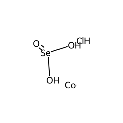 Cl.O=[Se](O)O.[Co]